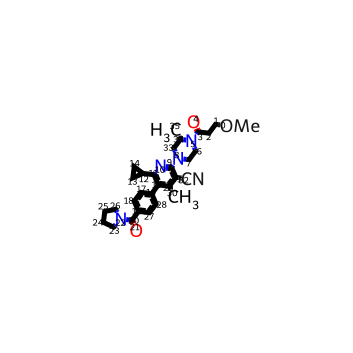 COCCC(=O)N1CCN(c2nc(C3CC3)c(-c3ccc(C(=O)N4CCCC4)cc3)c(C)c2C#N)CC1C